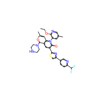 CCOc1ncc(C)cc1-n1c(C=C(C)C)c(C(=O)N2CCNCC2)cc(-c2nc(-c3ccc(C(F)F)nc3)cs2)c1=O